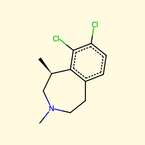 C[C@@H]1CN(C)CCc2ccc(Cl)c(Cl)c21